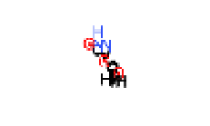 C[C@H]1[C@@H]2Oc3ccc(Oc4ccnc5c4CCC(=O)N5)cc3[C@H]12